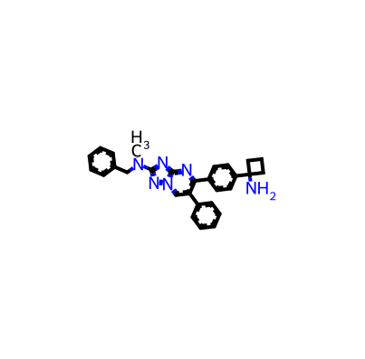 CN(Cc1ccccc1)c1nc2nc(-c3ccc(C4(N)CCC4)cc3)c(-c3ccccc3)cn2n1